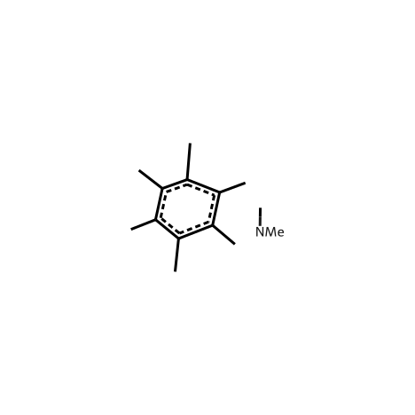 CNC.Cc1c(C)c(C)c(C)c(C)c1C